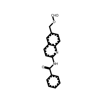 O=COCc1ccc2nc(NC(=O)c3ccccc3)ccc2c1